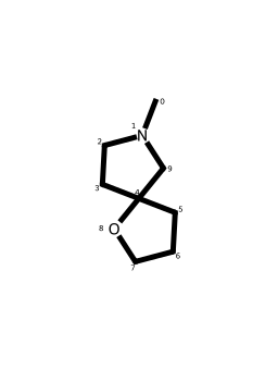 CN1CCC2(CCCO2)C1